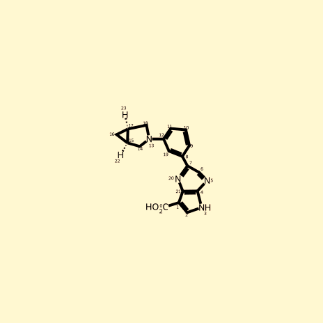 O=C(O)c1c[nH]c2ncc(-c3cccc(N4C[C@H]5C[C@H]5C4)c3)nc12